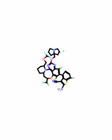 N#Cc1c(N)sc2c(F)ccc(-c3c(Cl)c4c5c(nc(OCC67CCCN6C[C@H](F)C7)nc5c3F)N3C(COC(F)F)CCCC3CC(C(F)F)O4)c12